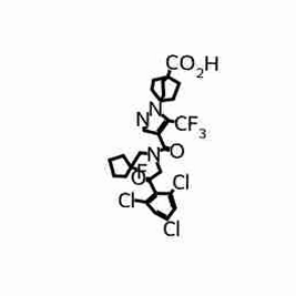 O=C(CN(CC1(F)CCCC1)C(=O)c1cnn(C23CCC(C(=O)O)(CC2)CC3)c1C(F)(F)F)c1c(Cl)cc(Cl)cc1Cl